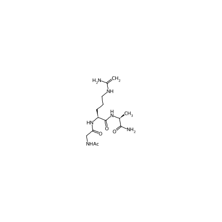 C=C(N)NCCC[C@H](NC(=O)CNC(C)=O)C(=O)N[C@@H](C)C(N)=O